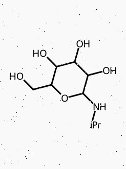 CC(C)NC1OC(CO)C(O)C(O)C1O